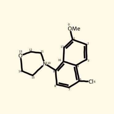 COc1ccc2c(Cl)ccc(N3CCOCC3)c2c1